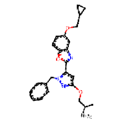 CC(=O)NC(C)COc1cc(-c2nc3cc(OCC4CC4)ccc3o2)n(Cc2ccccc2)n1